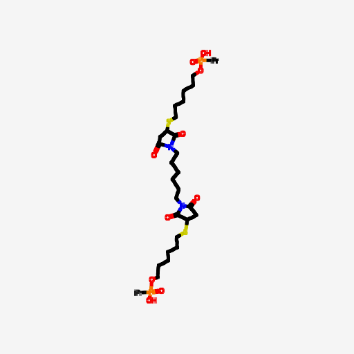 CC(C)P(=O)(O)OCCCCCCSC1CC(=O)N(CCCCCCN2C(=O)CC(SCCCCCCOP(=O)(O)C(C)C)C2=O)C1=O